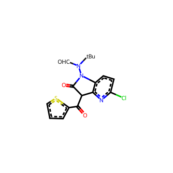 CC(C)(C)N(C=O)N1C(=O)C(C(=O)c2cccs2)c2nc(Cl)ccc21